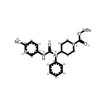 CC(C)(C)OC(=O)N1CCC([As](C(=O)Nc2ccc(C#N)nc2)c2ccccc2)CC1